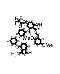 COc1ccc(OC)c(CNc2n[nH]c3cccc(Oc4ccccc4)c23)c1.Nc1n[nH]c2cccc(Oc3ccccc3)c12.O=C(O)C(F)(F)F